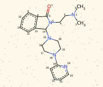 CN(C)CCN1C(=O)c2ccccc2C1N1CCN(c2ccccn2)CC1